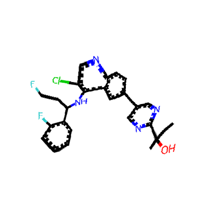 CC(C)(O)c1ncc(-c2ccc3ncc(Cl)c(NC(CCF)c4ccccc4F)c3c2)cn1